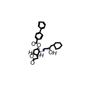 O=C1C[C@@H]2[C@@H](/C=C/[C@@H](O)CC3CCCCC3)[C@H](OC(=O)c3ccc(-c4ccccc4)cc3)C[C@@H]2O1